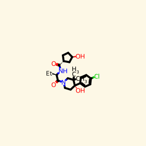 CC[C@@H](NC(=O)[C@@H]1CC[C@@H](O)C1)C(=O)N1CC[C@](O)(c2ccc(Cl)cc2)C(C)(C)C1